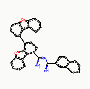 N=C(/N=C(\N)c1ccc(-c2cccc3oc4ccccc4c23)c2oc3ccccc3c12)c1ccc2ccccc2c1